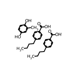 CCCCc1ccc(C(=O)O)cc1.CCCCc1ccc(C(=O)O)cc1.Cc1cc(O)ccc1O